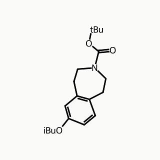 CC(C)COc1ccc2c(c1)CCN(C(=O)OC(C)(C)C)CC2